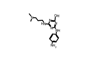 CN(C)CCCNc1nc(O)nc(Nc2ccc(N)cc2)n1